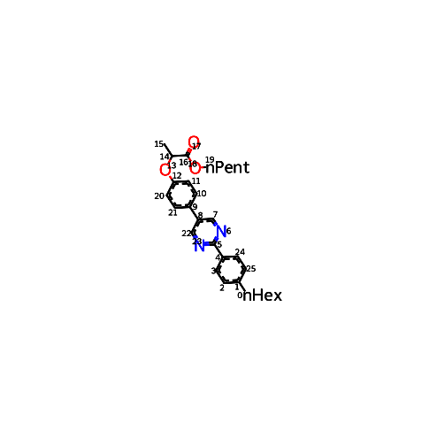 CCCCCCc1ccc(-c2ncc(-c3ccc(OC(C)C(=O)OCCCCC)cc3)cn2)cc1